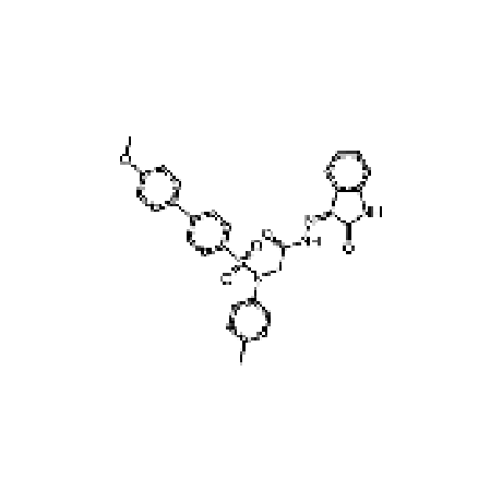 COc1ccc(-c2ccc(S(=O)(=O)N(CC(=O)N/N=C3\C(=O)Nc4ccccc43)c3ccc(C)cc3)cc2)cc1